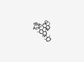 CC(=O)[C@@H](OC(C)(C)C)c1c(C)cc2nc(-c3c(C)cccc3C)ccc2c1-c1ccc2c3c(ccnc13)CCO2